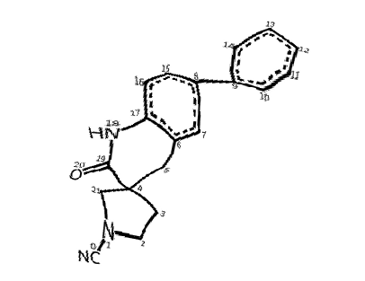 N#CN1CCC2(Cc3cc(-c4ccccc4)ccc3NC2=O)C1